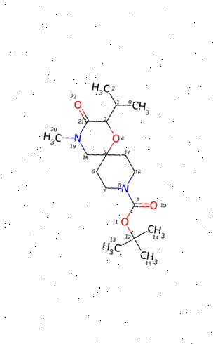 CC(C)C1OC2(CCN(C(=O)OC(C)(C)C)CC2)CN(C)C1=O